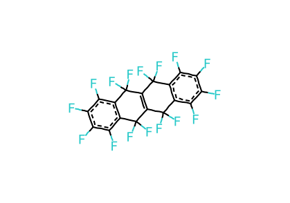 Fc1c(F)c(F)c2c(c1F)C(F)(F)C1=C(C2(F)F)C(F)(F)c2c(F)c(F)c(F)c(F)c2C1(F)F